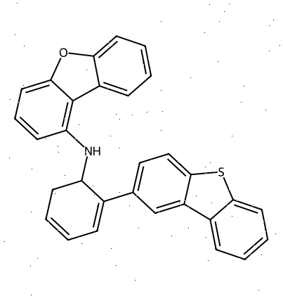 C1=CCC(Nc2cccc3oc4ccccc4c23)C(c2ccc3sc4ccccc4c3c2)=C1